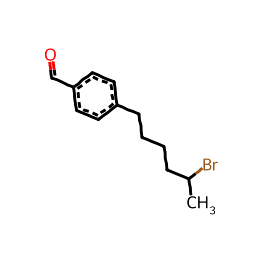 CC(Br)CCCCc1ccc(C=O)cc1